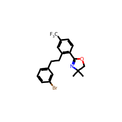 CC1(C)COC(c2ccc(C(F)(F)F)cc2CCc2cccc(Br)c2)=N1